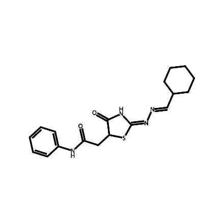 O=C(CC1S/C(=N/N=C/C2CCCCC2)NC1=O)Nc1ccccc1